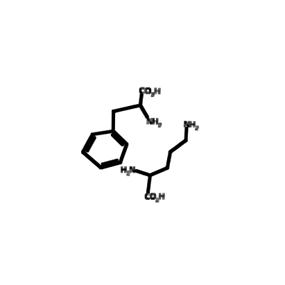 NC(Cc1ccccc1)C(=O)O.NCCCC(N)C(=O)O